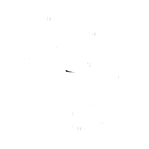 CCC(C=CS(=O)(=O)CC)N1C(=O)[C@@](C)(CC2COC(C)(C)O2)C[C@H](c2cccc(Cl)c2)[C@H]1c1ccc(Cl)cc1